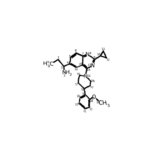 CCC(N)c1ccc2nc(C3CC3)nc(N3CCC(c4ccccc4OC)CC3)c2c1